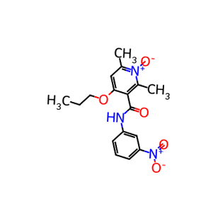 CCCOc1cc(C)[n+]([O-])c(C)c1C(=O)Nc1cccc([N+](=O)[O-])c1